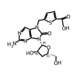 Nc1ncc2c(n1)n([C@@H]1O[C@H](CO)C[C@H]1O)c(=O)n2Cc1ccc(C(=O)O)s1